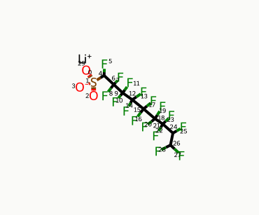 O=S(=O)([O-])C(F)C(F)(F)C(F)(F)C(F)(F)C(F)(F)C(F)(F)C(F)(F)C(F)C(F)F.[Li+]